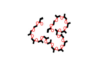 C=CC(=O)OCCOCC(C)OCC(C)OCC(C)OCC(C)OCC(C)OCC(C)OCC(C)OCC(C)OCC(C)OCC(C)OCC(C)OCC(C)OCC(C)OCC(C)OCCOC(=O)C=C